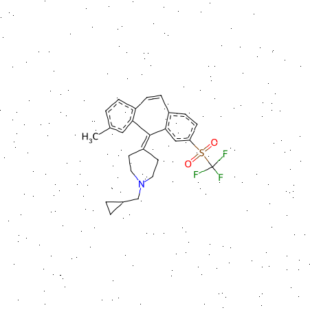 Cc1ccc2c(c1)C(=C1CCN(CC3CC3)CC1)c1cc(S(=O)(=O)C(F)(F)F)ccc1C=C2